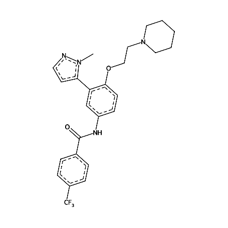 Cn1nccc1-c1cc(NC(=O)c2ccc(C(F)(F)F)cc2)ccc1OCCN1CCCCC1